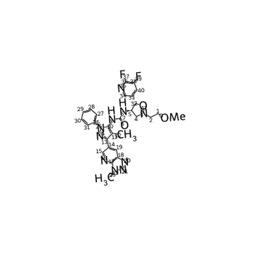 COCCN1C[C@@H](NC(=O)Nc2c(C)c(-c3cnc4c(c3)nnn4C)nn2-c2ccccc2)[C@H](c2cnc(F)c(F)c2)O1